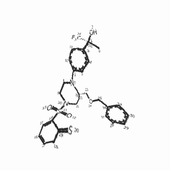 C[C@](O)(c1ccc(N2CCN(S(=O)(=O)C3=CC=CCC3=S)C[C@H]2COCc2ccccc2)cc1)C(F)(F)F